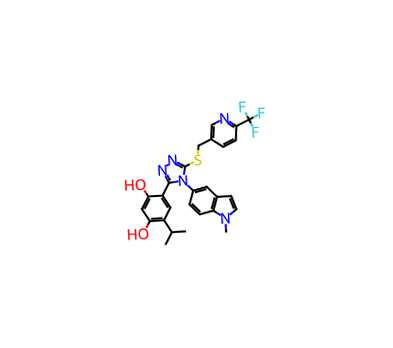 CC(C)c1cc(-c2nnc(SCc3ccc(C(F)(F)F)nc3)n2-c2ccc3c(ccn3C)c2)c(O)cc1O